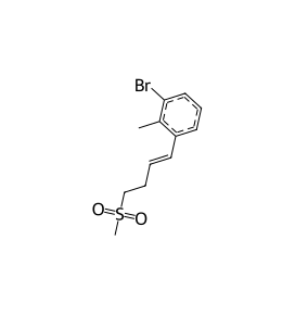 Cc1c(Br)cccc1/C=C/CCS(C)(=O)=O